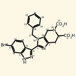 O=C(O)C1Cc2nc(-c3n[nH]c4cc(Br)ccc34)n(Cc3ccccc3)c2CN1C(=O)O